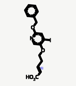 O=C(O)/C=C/CCOc1cnc(OCc2ccccc2)cc1I